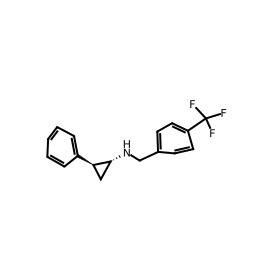 FC(F)(F)c1ccc(CN[C@@H]2C[C@H]2c2ccccc2)cc1